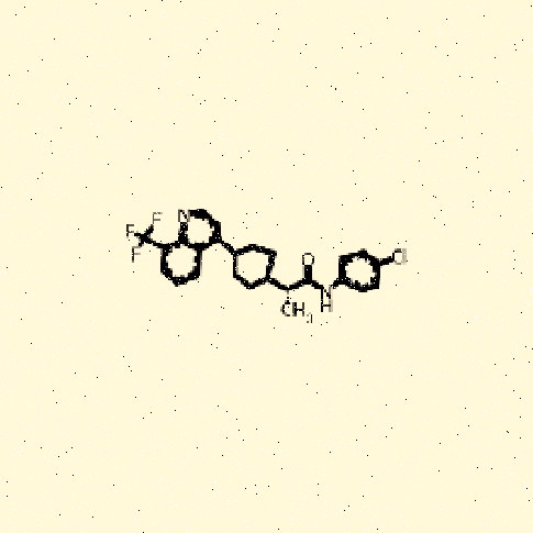 C[C@@H](C(=O)Nc1ccc(Cl)cc1)C1CCC(c2ccnc3c(C(F)(F)F)cccc23)CC1